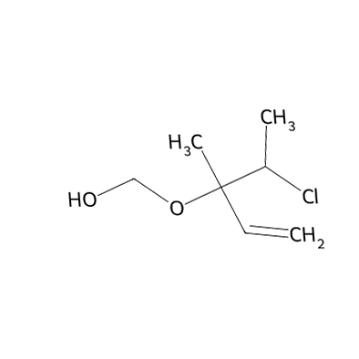 C=CC(C)(OCO)C(C)Cl